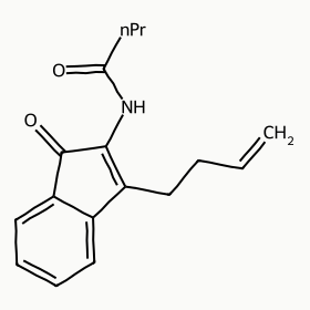 C=CCCC1=C(NC(=O)CCC)C(=O)c2ccccc21